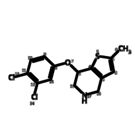 Cc1cc2c(s1)C(Oc1ccc(Cl)c(Cl)c1)CNC2